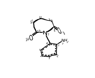 Nc1ccccc1N1C(=O)CCCC1=O